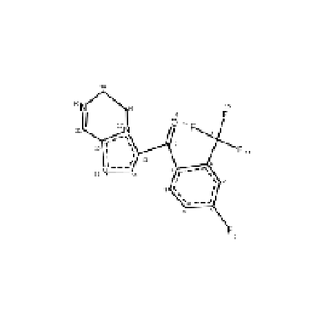 O=C(c1ccc(F)cc1C(F)(F)F)c1cnc2n1CCN=C2